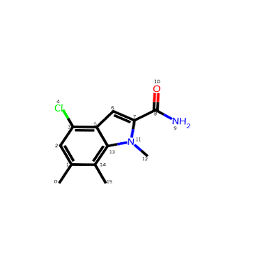 Cc1cc(Cl)c2cc(C(N)=O)n(C)c2c1C